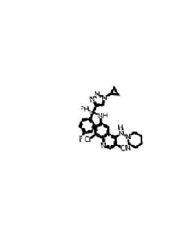 [2H][C@](Nc1cc(Cl)c2ncc(C#N)c(NN3CCCCC3)c2c1)(c1ccc(F)cc1)c1cn(C2CC2)nn1